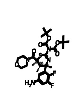 C[C@@H]1[C@@](C)(C(=O)N2CCOCC2)SC(N(C(=O)OC(C)(C)C)C(=O)OC(C)(C)C)=N[C@]1(C)c1cc(N)cc(F)c1F